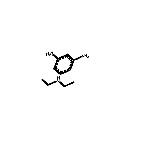 CCNCC.Nc1cccc(N)c1